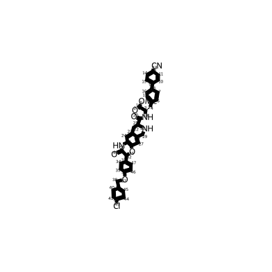 COC(=O)[C@H](Cc1ccc(-c2ccc(C#N)cc2)cc1)NC(=O)C1Cc2cc3c(cc2CN1)OC(c1ccc(OCc2ccc(Cl)cc2)cc1)C(=O)N3